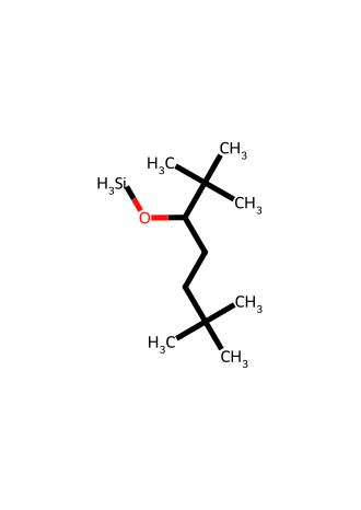 CC(C)(C)CCC(O[SiH3])C(C)(C)C